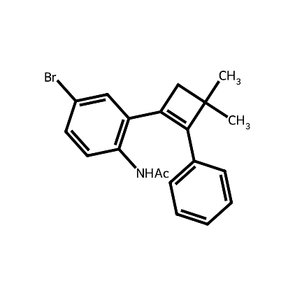 CC(=O)Nc1ccc(Br)cc1C1=C(c2ccccc2)C(C)(C)C1